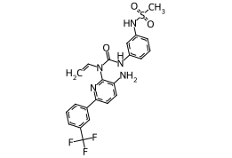 C=CN(C(=O)Nc1cccc(NS(C)(=O)=O)c1)c1nc(-c2cccc(C(F)(F)F)c2)ccc1N